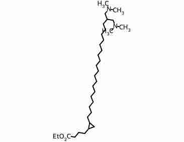 CCOC(=O)CCCC1CC1CCCCCCCCCCCCCCCCCCCC(CN(C)C)CN(C)C